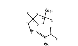 CC(C)C(=O)O.CC(C)CC(C)(C)CC(C)(C)C(=O)O